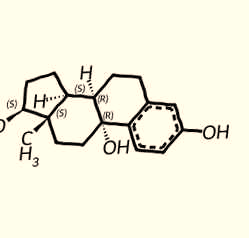 C[C@]12CC[C@]3(O)c4ccc(O)cc4CC[C@@H]3[C@@H]1CC[C@@H]2O